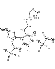 CN[C@@H]1CCN(c2nc(Cl)nc(Cl)c2OCC[C@@H]2CCCN2)C1.O=C(O)C(F)(F)F.O=C(O)C(F)(F)F